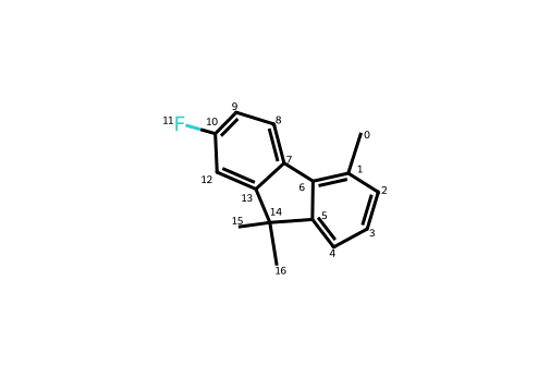 Cc1cccc2c1-c1ccc(F)cc1C2(C)C